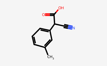 Cc1cccc(C(C#N)C(=O)O)c1